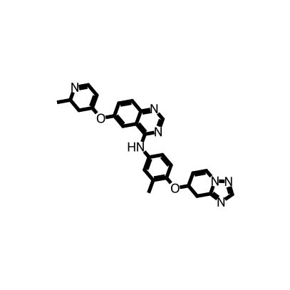 Cc1cc(Nc2ncnc3ccc(OC4=CC=NC(C)C4)cc23)ccc1OC1C=Cn2ncnc2C1